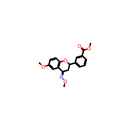 CON=C1CC(c2cccc(C(=O)OC)c2)Oc2ccc(OC)cc21